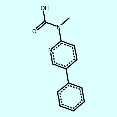 CN(C(=O)O)c1ccc(-c2ccccc2)cn1